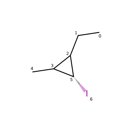 CCC1C(C)[C@H]1I